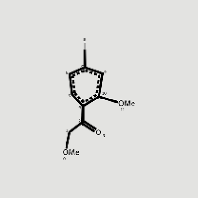 COCC(=O)c1ccc(I)cc1OC